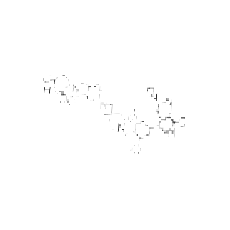 COc1cc(-c2cn(C)c(=O)c3cnc(N4CCC4)cc23)cc(OC)c1CN1CCC2(CC1)CN(c1ccc3c(c1)C(=O)N(C1CCC(=O)NC1=O)C3)C2